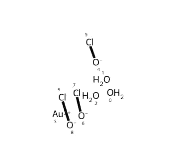 O.O.O.[Au+3].[O-]Cl.[O-]Cl.[O-]Cl